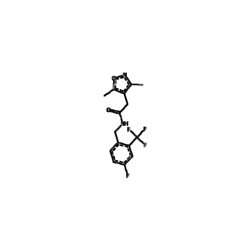 Cc1noc(C)c1CC(=O)NCc1ccc(F)cc1C(F)(F)F